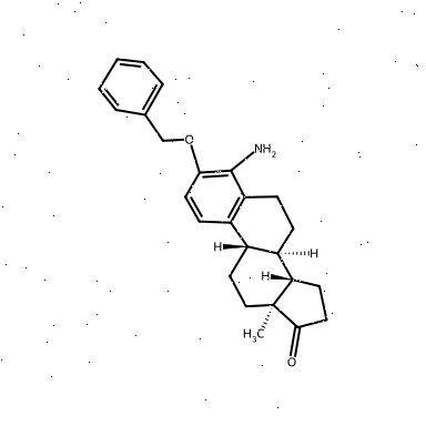 C[C@]12CC[C@@H]3c4ccc(OCc5ccccc5)c(N)c4CC[C@H]3[C@@H]1CCC2=O